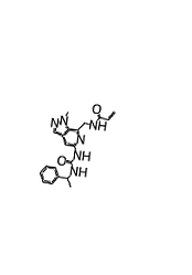 C=CC(=O)NCc1nc(NC(=O)NC(C)c2ccccc2)cc2cnn(C)c12